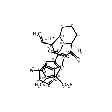 C=C[C@@H]1CN(Cc2ccccn2)C(=O)[C@@H]2CCC[C@H]1N2S(=O)(=O)c1cc(Br)c(C)c(C(=O)O)c1